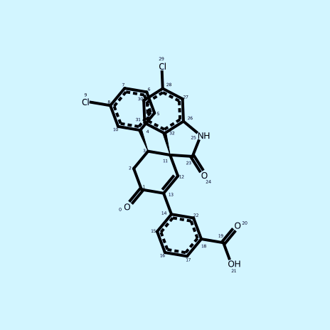 O=C1C[C@@H](c2cccc(Cl)c2)[C@@]2(C=C1c1cccc(C(=O)O)c1)C(=O)Nc1cc(Cl)ccc12